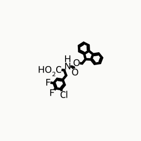 O=C(NC(Cc1cc(F)c(F)c(Cl)c1)C(=O)O)OCC1c2ccccc2-c2ccccc21